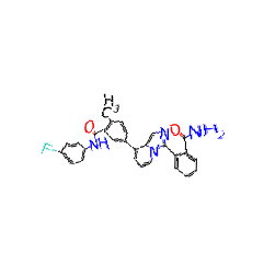 Cc1ccc(-c2cccn3c(-c4ccccc4C(N)=O)ncc23)cc1C(=O)Nc1ccc(F)cc1